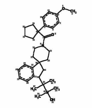 COc1ccc(C2(C(=O)N3CCC(CCC(C)(C)[Si](C)(C)O)(c4ccccc4)CC3)CCCC2)cc1